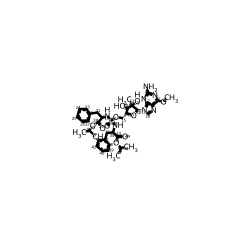 COc1nc(N)nc2c1ncn2[C@@H]1O[C@H](COP(=O)(NC(Cc2ccccc2)C(=O)OC(C)C)NC(Cc2ccccc2)C(=O)OC(C)C)C(O)[C@]1(C)O